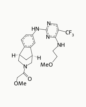 COCCNc1nc(Nc2ccc3c(c2)[C@@H]2C[C@H]3CN(C(=O)COC)C2)ncc1C(F)(F)F